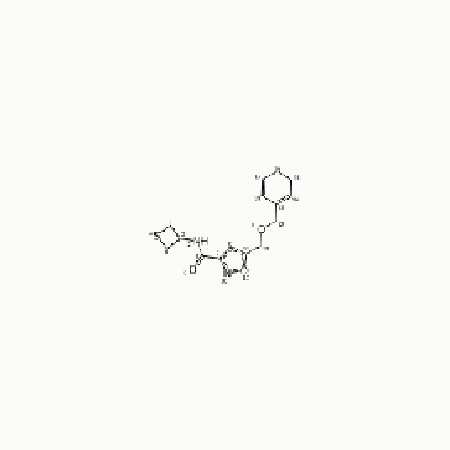 O=C(NC1CSC1)c1cc(COCC2=CCCC=C2)on1